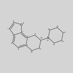 c1cc2ccc3c(c2o1)CC(N1CCCCC1)CC3